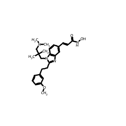 COc1cccc(CCc2nc3cc(C=CC(=O)NO)ccc3n2CC(C)(C)CN(C)C)c1